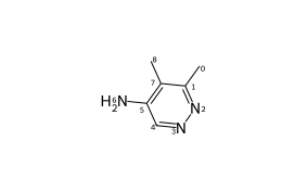 Cc1nncc(N)c1C